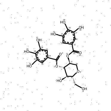 O=C(O[C@H]1[C@H](O)[C@@H](CO)OC[C@@H]1OC(=O)c1cc(O)c(O)c(O)c1)c1cc(O)c(O)c(O)c1